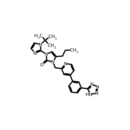 CCCc1cn(-c2nccn2C(C)(C)C)c(=O)n1Cc1cc(-c2cccc(-c3nnn[nH]3)c2)ccn1